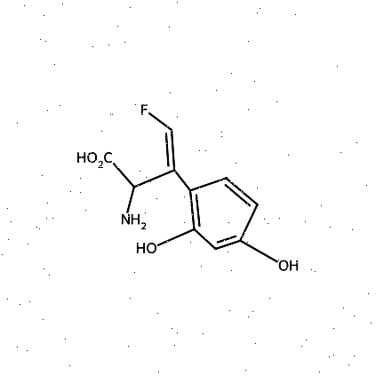 NC(C(=O)O)C(=CF)c1ccc(O)cc1O